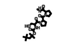 CNC(=O)C1CCCN1C(=O)C1CCCN1C(=O)C(CO)NC(=O)OC(C)(C)CC(C)(C)C